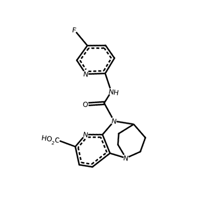 O=C(O)c1ccc2c(n1)N(C(=O)Nc1ccc(F)cn1)C1CCN2CC1